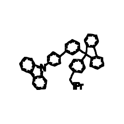 CC(C)Cc1ccc(C2(c3cccc(-c4ccc(-n5c6ccccc6c6ccccc65)cc4)c3)c3ccccc3-c3ccccc32)cc1